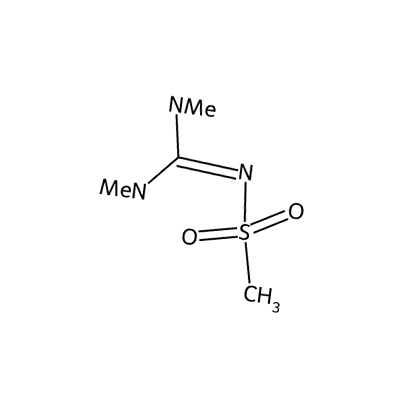 CNC(=NS(C)(=O)=O)NC